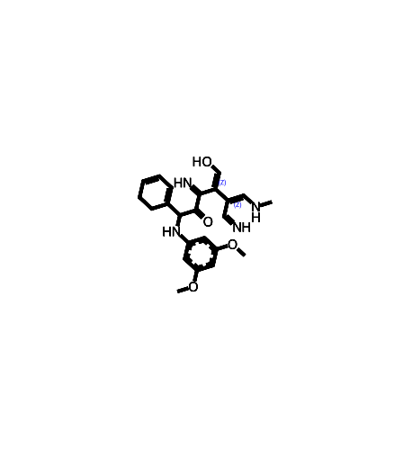 CN/C=C(C=N)/C(=C/O)C(=N)C(=O)C(Nc1cc(OC)cc(OC)c1)C1=CC=CCC1